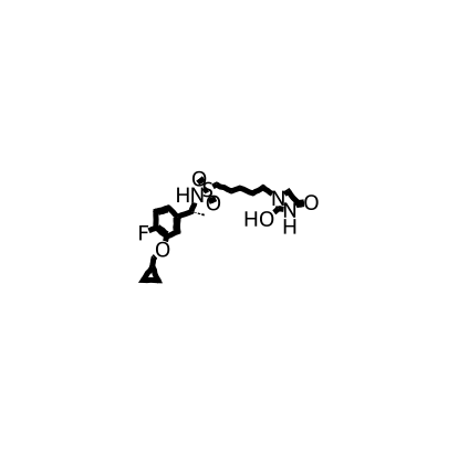 C[C@@H](NS(=O)(=O)CCCCCN1CC(=O)NC1O)c1ccc(F)c(OCC2CC2)c1